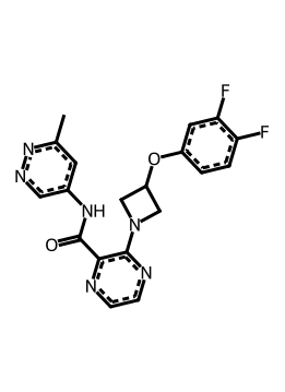 Cc1cc(NC(=O)c2nccnc2N2CC(Oc3ccc(F)c(F)c3)C2)cnn1